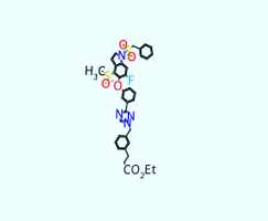 CCOC(=O)CCc1cccc(Cn2cnc(-c3cccc(Oc4c(F)cc5c(ccn5S(=O)(=O)Cc5ccccc5)c4[S+](C)[O-])c3)n2)c1